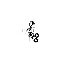 C=C[C@H](OC(=O)NCC(F)(F)C(F)(F)F)C(=O)N[C@@H]1C(=O)Nc2ccccc2-c2ccccc21